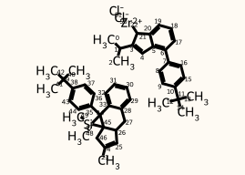 CC(C)C1=Cc2c(-c3ccc(C(C)(C)C)cc3)cccc2[CH]1[Zr+2].CC1=CC2Cc3ccccc3C3(c4ccc(C(C)(C)C)cc4)C2(C1)[Si]3(C)C.[Cl-].[Cl-]